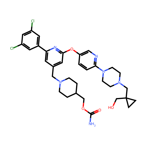 NC(=O)OCC1CCN(Cc2cc(Oc3ccc(N4CCN(CC5(CO)CC5)CC4)nc3)nc(-c3cc(Cl)cc(Cl)c3)c2)CC1